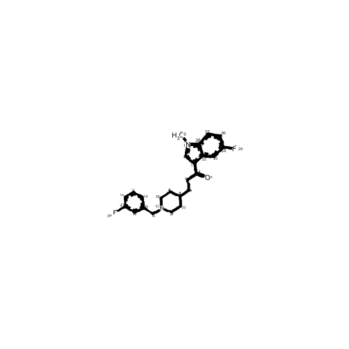 Cn1cc(C(=O)CCC2CCN(Cc3cccc(F)c3)CC2)c2cc(F)ccc21